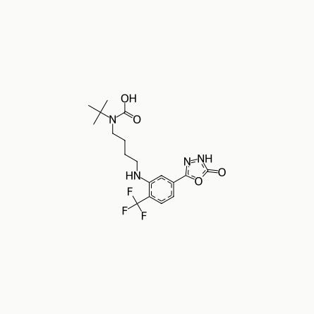 CC(C)(C)N(CCCCNc1cc(-c2n[nH]c(=O)o2)ccc1C(F)(F)F)C(=O)O